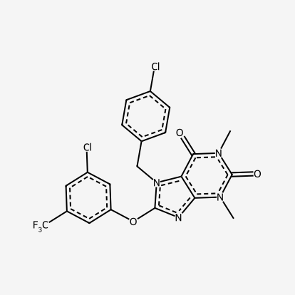 Cn1c(=O)c2c(nc(Oc3cc(Cl)cc(C(F)(F)F)c3)n2Cc2ccc(Cl)cc2)n(C)c1=O